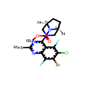 CSc1nc(N2C[C@H]3CC[C@@H](C2)N3C(=O)OC(C)(C)C)c2c(F)c(Cl)c(Br)c(F)c2n1